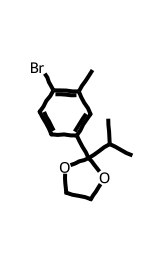 Cc1cc(C2(C(C)C)OCCO2)ccc1Br